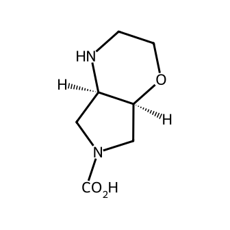 O=C(O)N1C[C@@H]2OCCN[C@@H]2C1